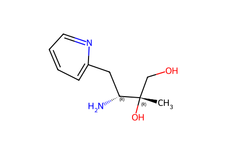 C[C@](O)(CO)[C@H](N)Cc1ccccn1